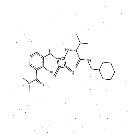 CC(C)[C@@H](Nc1c(Nc2cccc(C(=O)N(C)C)c2O)c(=O)c1=O)C(=O)NCC1CCCCC1